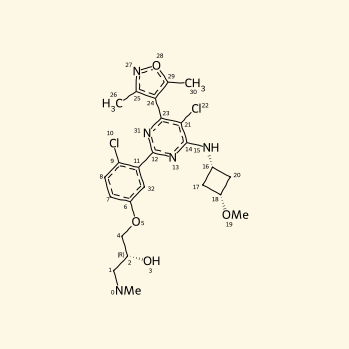 CNC[C@@H](O)COc1ccc(Cl)c(-c2nc(N[C@H]3C[C@@H](OC)C3)c(Cl)c(-c3c(C)noc3C)n2)c1